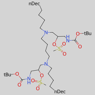 CCCCCCCCCCCCCCN(CCCCN(CCCCCCCCCCCCCC)CC(CNC(=O)OC(C)(C)C)OS(C)(=O)=O)CC(CNC(=O)OC(C)(C)C)OS(C)(=O)=O